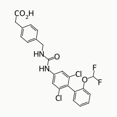 O=C(O)Cc1ccc(CNC(=O)Nc2cc(Cl)c(-c3ccccc3OC(F)F)c(Cl)c2)cc1